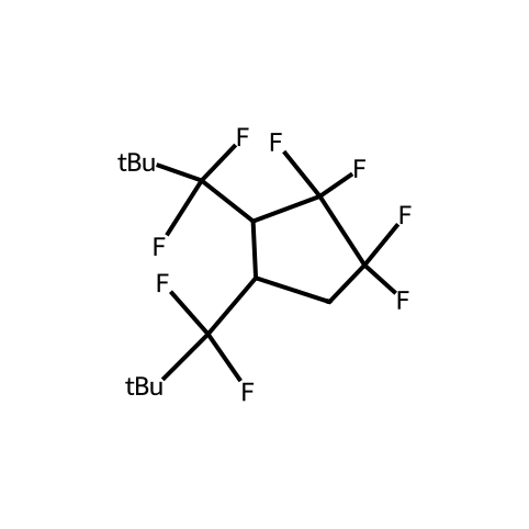 CC(C)(C)C(F)(F)C1CC(F)(F)C(F)(F)C1C(F)(F)C(C)(C)C